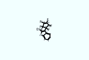 CCc1sc2ccccc2c1C1(F)C(F)C(F)=C(F)C1(F)F